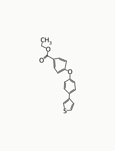 CCOC(=O)c1ccc(Oc2ccc(-c3ccsc3)cc2)cc1